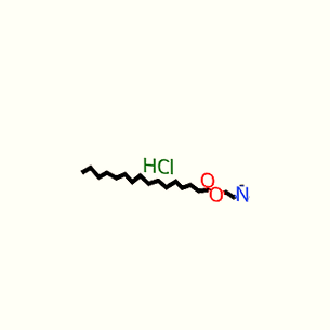 CCCCCCCCCCCCCCCC(=O)OCCN(C)C.Cl